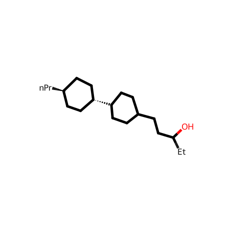 CCC[C@H]1CC[C@H](C2CCC(CCC(O)CC)CC2)CC1